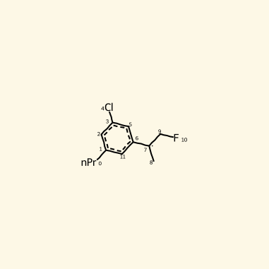 CCCc1cc(Cl)cc([C](C)CF)c1